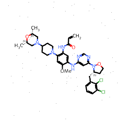 C=CC(=O)Nc1cc(Nc2cc(N3OCC[C@@H]3Cc3cccc(Cl)c3Cl)ncn2)c(OC)cc1N1CCC(N2C[C@@H](C)O[C@@H](C)C2)CC1